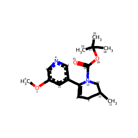 COc1cncc(C2=CCC(C)CN2C(=O)OC(C)(C)C)c1